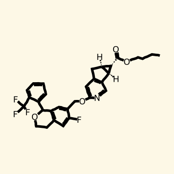 CCCCOC(=O)[C@H]1[C@@H]2Cc3cc(OCc4cc5c(cc4F)CCOC5c4ccccc4C(F)(F)F)ncc3[C@@H]21